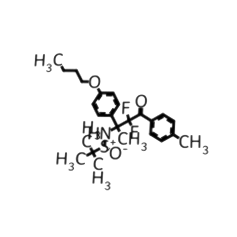 CCCCOc1ccc(C(C)(N[S+]([O-])C(C)(C)C)C(F)(F)C(=O)c2ccc(C)cc2)cc1